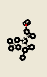 c1ccc(-c2ccc3c(c2)c2ccccc2n3-c2cc(-n3c4ccccc4c4cc(N5C6CC7CC(C6)CC5C7)ccc43)nc(-c3cccc([Si](c4ccccc4)(c4ccccc4)c4ccccc4)c3)n2)cc1